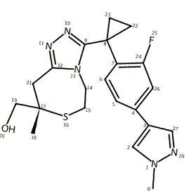 Cn1cc(-c2ccc(C3(c4nnc5n4CCS[C@](C)(CO)C5)CC3)c(F)c2)cn1